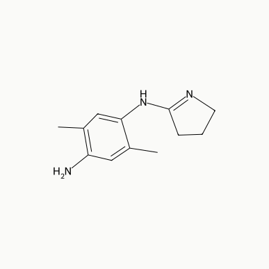 Cc1cc(NC2=NCCC2)c(C)cc1N